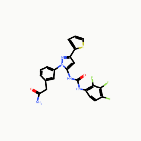 NC(=O)Cc1cccc(-n2nc(-c3cccs3)cc2NC(=O)Nc2ccc(F)c(F)c2F)c1